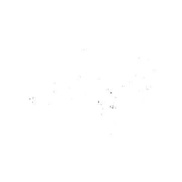 c1ccc(-c2cc(-c3ccc(-c4ccncc4)cc3)cc(-c3nc(-c4ccccc4)nc(-c4ccc5oc6ccccc6c5c4)n3)c2)cc1